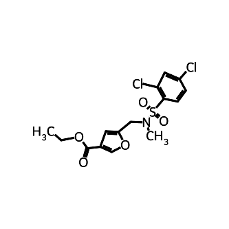 CCOC(=O)c1coc(CN(C)S(=O)(=O)c2ccc(Cl)cc2Cl)c1